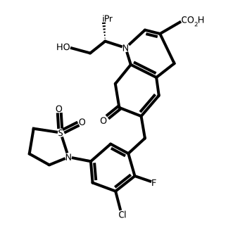 CC(C)[C@@H](CO)N1C=C(C(=O)O)CC2=C1CC(=O)C(Cc1cc(N3CCCS3(=O)=O)cc(Cl)c1F)=C2